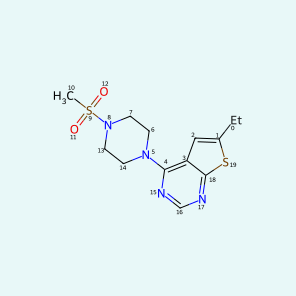 CCc1cc2c(N3CCN(S(C)(=O)=O)CC3)ncnc2s1